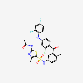 CC(=O)Nc1nc(C)c(S(=O)(=O)Nc2ccc(C)c(C(=O)c3ccc(Nc4ccc(F)cc4F)cc3Cl)c2)s1